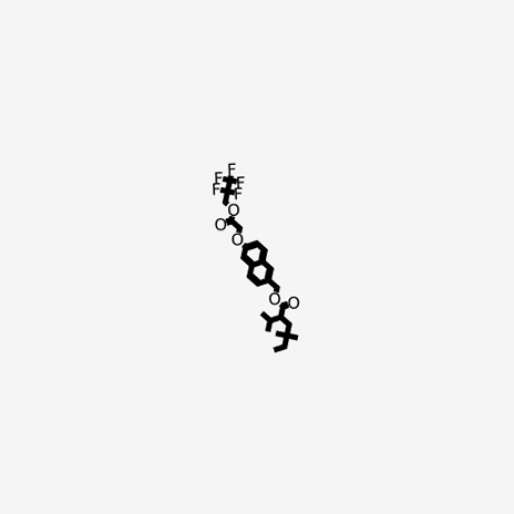 CCC(C)(C)CC(C(=O)OCc1ccc2cc(OCC(=O)OCC(F)(F)C(F)(F)F)ccc2c1)C(C)C